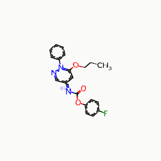 CCCOc1c/c(=N\C(=O)Oc2ccc(F)cc2)cnn1-c1ccccc1